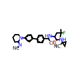 CC(C)(F)CC(NC(c1ccc(-c2ccc(N3CCCC/C3=N\C#N)cc2)cc1)C(F)(F)F)C(=O)NC1(C#N)CC1